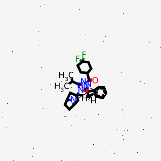 [2H]C([2H])([2H])c1nnc(C(C)C)n1C1CC2CCC(C1)N2CC[C@H](NC(=O)C1CCC(F)(F)CC1)c1ccccc1